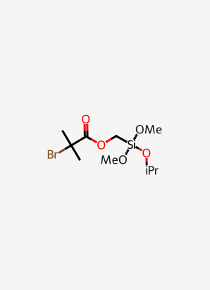 CO[Si](COC(=O)C(C)(C)Br)(OC)OC(C)C